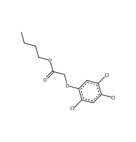 CCCCOC(=O)COc1cc(Cl)c(Cl)cc1Cl